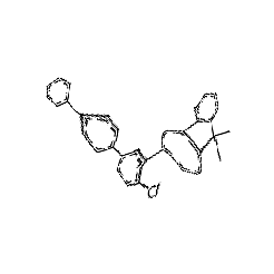 CC1(C)c2ccccc2-c2cc(-c3cc(-c4ccc(-c5ccccc5)cc4)ccc3Cl)ccc21